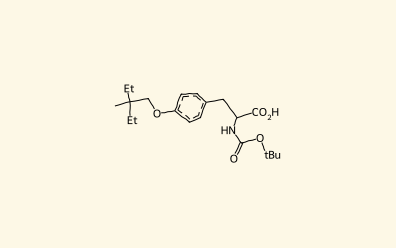 CCC(C)(CC)COc1ccc(CC(NC(=O)OC(C)(C)C)C(=O)O)cc1